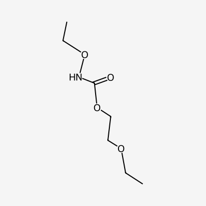 CCOCCOC(=O)NOCC